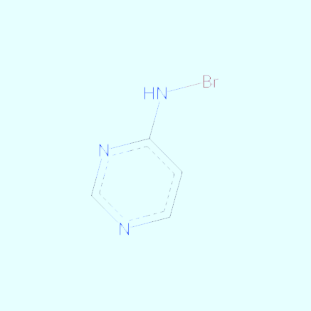 BrNc1ccncn1